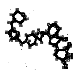 O=C1CCC(N2Cc3c(cccc3N3CC4(CCN(Cc5ccc(CN6CCOCC6)o5)CC4)C3)C2=O)C(=O)N1